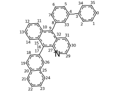 c1ccc(-c2cccc(-c3c4ccccc4c(-c4ccc5ccccc5c4)c4ncccc34)c2)cc1